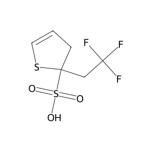 O=S(=O)(O)C1(CC(F)(F)F)CC=CS1